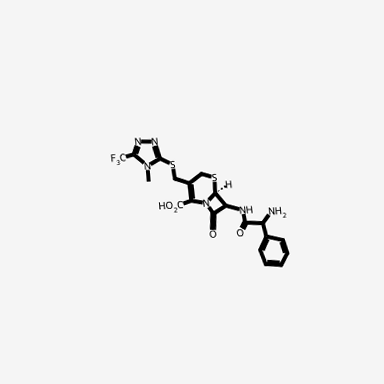 Cn1c(SCC2=C(C(=O)O)N3C(=O)C(NC(=O)C(N)c4ccccc4)[C@@H]3SC2)nnc1C(F)(F)F